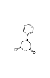 O=C1CC(=O)CN(c2ccccc2)C1